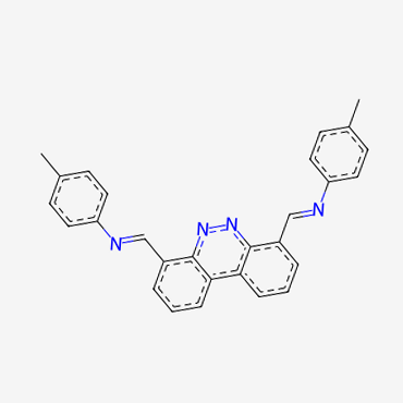 Cc1ccc(/N=C/c2cccc3c2nnc2c(/C=N/c4ccc(C)cc4)cccc23)cc1